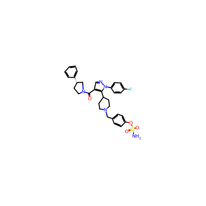 NS(=O)(=O)Oc1ccc(CN2CCC(c3c(C(=O)N4CC[C@H](c5ccccc5)C4)cnn3-c3ccc(F)cc3)CC2)cc1